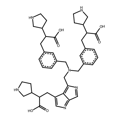 O=C(O)C(CC1=CN=C2C=NC(CN(Cc3cccc(CC(C(=O)O)C4CCNC4)c3)Cc3cccc(CC(C(=O)O)C4CCNC4)c3)=C12)C1CCNC1